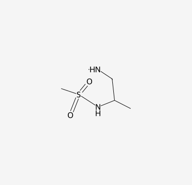 CC(C[NH])NS(C)(=O)=O